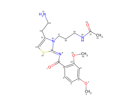 COc1ccc(C(=O)N=c2scc(CCN)n2CCCNC(C)=O)c(OC)c1